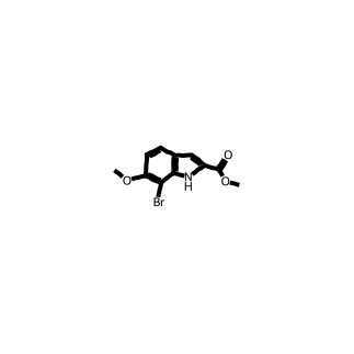 COC(=O)c1cc2ccc(OC)c(Br)c2[nH]1